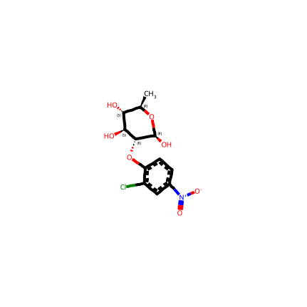 C[C@H]1O[C@@H](O)[C@H](Oc2ccc([N+](=O)[O-])cc2Cl)[C@@H](O)[C@@H]1O